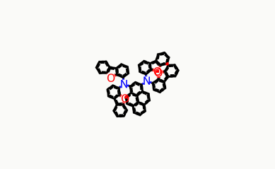 c1cc2ccc3c(N(c4cccc5c4oc4ccccc45)c4cccc5c4oc4ccccc45)cc(N(c4cccc5c4oc4ccccc45)c4cccc5c4oc4ccccc45)c4ccc(c1)c2c34